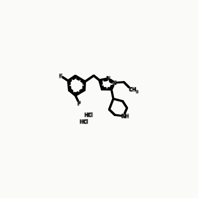 CCn1nc(Cc2cc(F)cc(F)c2)cc1C1CCNCC1.Cl.Cl